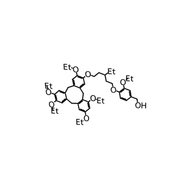 CCOc1cc2c(c(OCC)c1)Cc1cc(OCCC(CC)CCOc3ccc(CO)cc3OCC)c(OCC)cc1Cc1cc(OCC)c(OCC)cc1C2